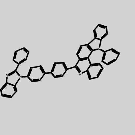 c1ccc(-c2nc3ccccc3n2-c2ccc(-c3ccc(-c4nc5ccccc5c5c4ccc4c6ccccc6n(-c6ccccc6)c45)cc3)cc2)cc1